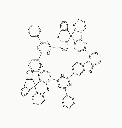 c1ccc(-c2nc(-c3ccc4c(c3)sc3cccc(-c5ccc6c(c5)-c5ccccc5C65c6ccccc6Sc6c(-c7nc(-c8ccccc8)nc(-c8ccccn8)n7)cccc65)c34)nc(-c3cccc4c3Sc3ccccc3C43c4ccccc4-c4ccccc43)n2)cc1